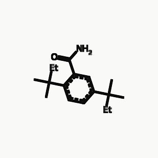 CCC(C)(C)c1ccc(C(C)(C)CC)c(C(N)=O)c1